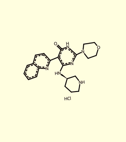 Cl.O=c1[nH]c(N2CCOCC2)nc(N[C@@H]2CCCNC2)c1-c1ccc2ccccc2n1